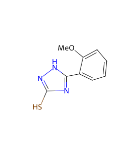 COc1ccccc1-c1nc(S)n[nH]1